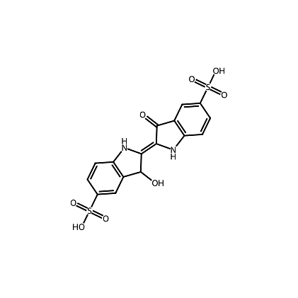 O=C1/C(=C2\Nc3ccc(S(=O)(=O)O)cc3C2O)Nc2ccc(S(=O)(=O)O)cc21